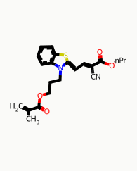 C=C(C)C(=O)OCCCN1/C(=C/C=C(\C#N)C(=O)OCCC)Sc2ccccc21